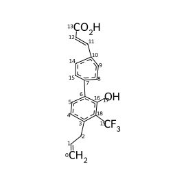 C=CCc1ccc(-c2ccc(/C=C/C(=O)O)cc2)c(O)c1C(F)(F)F